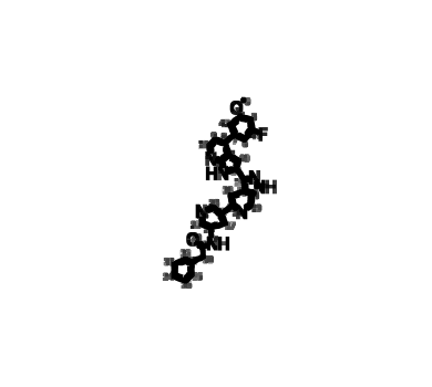 COc1cc(F)cc(-c2ccnc3[nH]c(-c4n[nH]c5cnc(-c6cncc(NC(=O)Cc7ccccc7)c6)cc45)cc23)c1